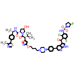 Cc1ncsc1-c1ccc([C@H](C)NC(=O)[C@@H]2C[C@@H](O)CN2C(=O)[C@@H](c2cc(OCCCCN3CCN(c4ccc(-c5cnc6[nH]cc(C(=O)c7c(F)ccc(NS(=O)(=O)N8CC[C@@H](F)C8)c7F)c6c5)cc4)CC3)no2)C(C)C)cc1